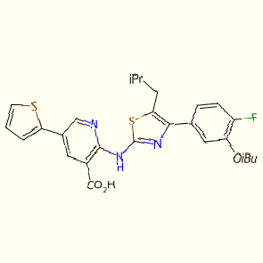 CC(C)COc1cc(-c2nc(Nc3ncc(-c4cccs4)cc3C(=O)O)sc2CC(C)C)ccc1F